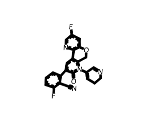 N#Cc1c(F)cccc1-c1cc2c(n(C3=CCCN=C3)c1=O)COc1cc(F)cnc1-2